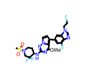 COc1nc(N[C@@H]2CCN(S(C)(=O)=O)CC2(F)F)nn2ccc(-c3cc(F)c4ncn(CCF)c4c3)c12